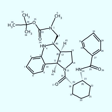 CN(C[C@@H]1Nc2ccccc2[C@H]2[C@@H]1CCN2C(=O)[C@H]1CCCC[C@H]1NC(=O)c1ccccc1)C(=O)OC(C)(C)C